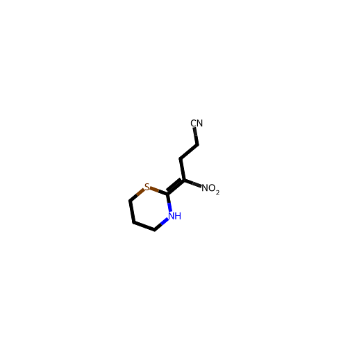 N#CCCC(=C1NCCCS1)[N+](=O)[O-]